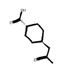 CC(=O)C[C@H]1CC[C@H](C(=O)O)CC1